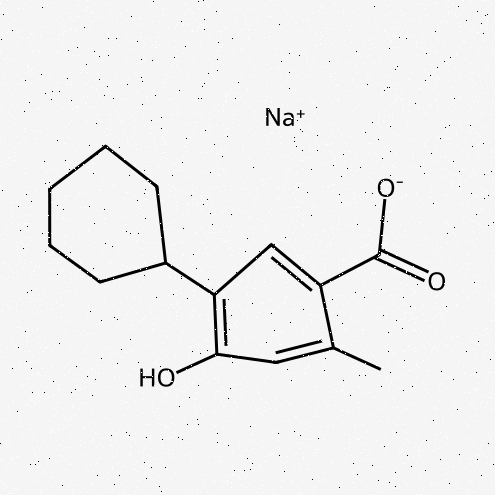 Cc1cc(O)c(C2CCCCC2)cc1C(=O)[O-].[Na+]